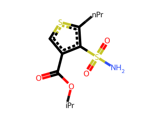 CCCc1scc(C(=O)OC(C)C)c1S(N)(=O)=O